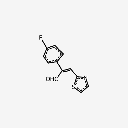 O=C/C(=C\c1nccs1)c1ccc(F)cc1